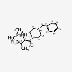 CC(C)N[C@@H](C(=O)N1CCN(Cc2ccccc2)CC1)C(C)C